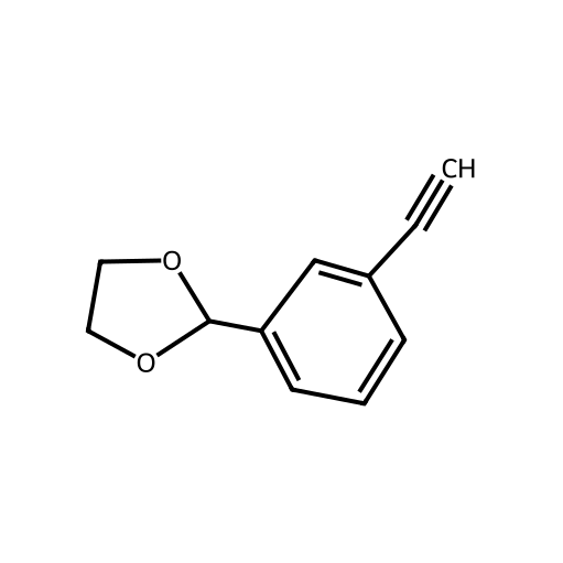 C#Cc1cccc(C2OCCO2)c1